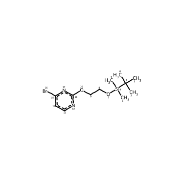 CC(C)(C)[Si](C)(C)OCCOc1nccc(Br)n1